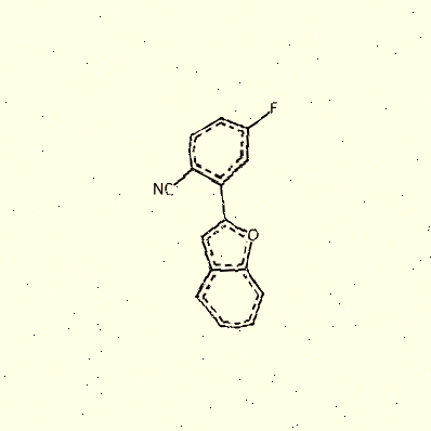 N#Cc1ccc(F)cc1-c1cc2ccccc2o1